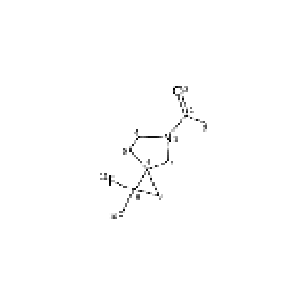 CC(=O)N1CCC2(C1)CC2(F)F